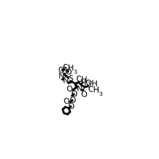 C[C@@H](O)[C@H]1C(=O)N2C(C(=O)OCOC(=O)OC3CCCCC3)=C(c3cn4cnc(S(C)(=O)=O)c4s3)[C@H](C)[C@H]12